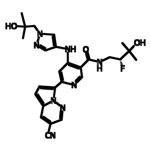 CC(C)(O)Cn1cc(Nc2cc(-c3ccc4cc(C#N)cnn34)ncc2C(=O)NC[C@@H](F)C(C)(C)O)cn1